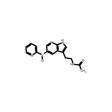 CC(=O)NCCc1c[nH]c2ncc([S+]([O-])c3ccccn3)cc12